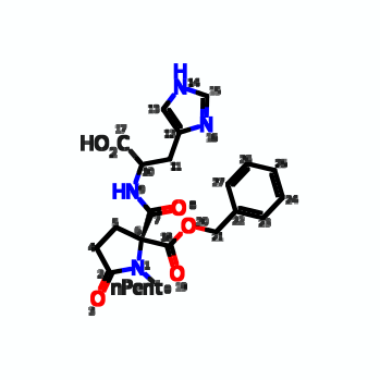 CCCCCN1C(=O)CC[C@]1(C(=O)NC(Cc1c[nH]cn1)C(=O)O)C(=O)OCc1ccccc1